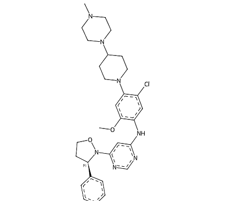 COc1cc(N2CCC(N3CCN(C)CC3)CC2)c(Cl)cc1Nc1cc(N2OCC[C@@H]2c2ccccc2)ncn1